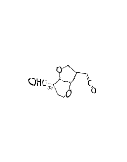 O=C=CC1COC2C1OC[C@@H]2C=O